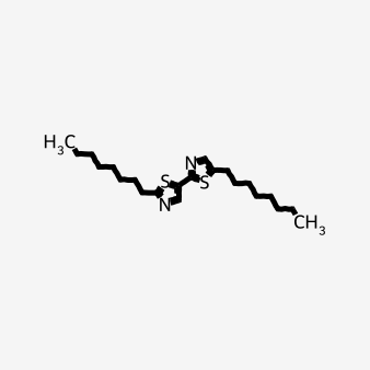 CCCCCCCCc1cnc(-c2cnc(CCCCCCCC)s2)s1